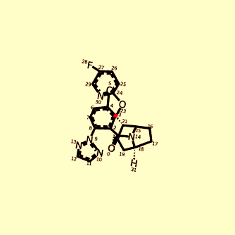 O=C(c1cc(Cl)ccc1-n1nccn1)N1C2CC[C@H]1CC[C@@H]2COc1ccc(F)cn1